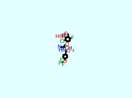 CC(C#N)(COc1cc(F)c2c(c1Cl)B(O)OC2)NC(=O)c1ccc(OC(F)(F)F)cc1